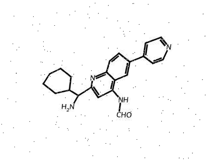 NC(c1cc(NC=O)c2cc(-c3ccncc3)ccc2n1)C1CCCCC1